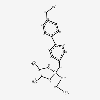 CCO[Si](Cc1ccc(-c2ccc(CBr)cc2)cc1)(OCC)OCC